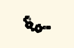 O=Cc1ccc(Oc2ccc(OC(F)(F)F)cc2)cn1